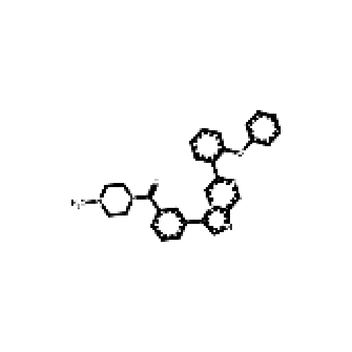 CN1CCN(C(=O)c2cccc(-c3cnc4cnc(-c5ccccc5Oc5ccccc5)cn34)c2)CC1